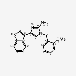 COc1ccccc1Cn1cc(-c2csc3ccccc23)nc1N